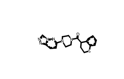 O=C(C1CCSc2ccccc21)N1CCN(c2ccc3nncn3n2)CC1